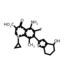 Cc1c(-c2cc3c(s2)CCCC3O)c(F)c(N)c2c(=O)c(C(=O)O)cn(C3CC3)c12